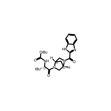 CC(C)COC(=O)N[C@H](C(=O)N1C[C@@H]2C[C@H]1CN2C(=O)c1nc2ccccc2[nH]1)C(C)(C)C